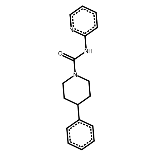 O=C(Nc1ccccn1)N1CCC(c2ccccc2)CC1